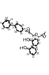 C(OCC1CO1)C1CO1.Oc1ccccc1.Oc1ccccc1.c1ccc(-c2ccccc2)cc1